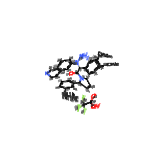 COc1ccc([C@H](C(=O)N2CCCC2c2cccc(NC(C)=O)c2)N(N)c2ccc3cnccc3c2)cc1OC.O=C(O)C(F)(F)F